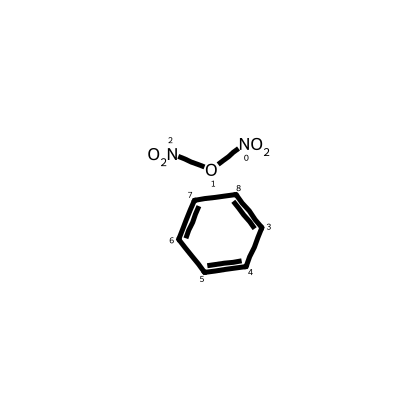 O=[N+]([O-])O[N+](=O)[O-].c1ccccc1